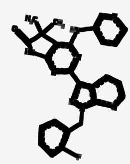 CC1(C)C(=O)Nc2nc(-c3nn(Cc4ccccc4F)c4ncccc34)nc(Nc3cccnc3)c21